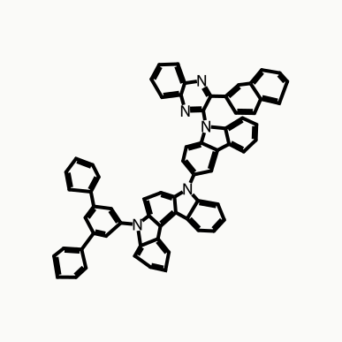 c1ccc(-c2cc(-c3ccccc3)cc(-n3c4ccccc4c4c5c6ccccc6n(-c6ccc7c(c6)c6ccccc6n7-c6nc7ccccc7nc6-c6ccc7ccccc7c6)c5ccc43)c2)cc1